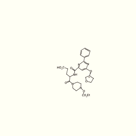 CCOC(=O)ON1CCN(C(=O)C(CCC(=O)O)NC(=O)c2cc(O[C@H]3CCOC3)nc(-c3ccccc3)n2)CC1